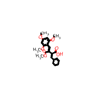 COC(=O)C(=Cc1c(OC)cc(OC)cc1OC)C(=Cc1ccccc1)C(=O)O